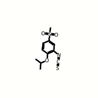 CC(C)Oc1ccc(S(C)(=O)=O)cc1N=C=S